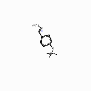 CCCC/N=C/c1ccc(S[Si](C)(C)C)cc1